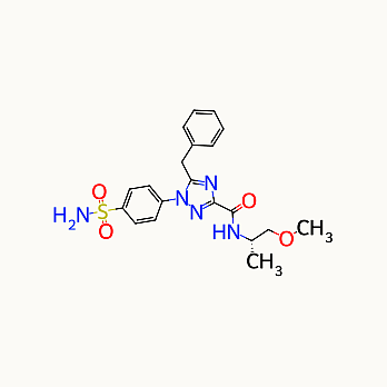 COC[C@H](C)NC(=O)c1nc(Cc2ccccc2)n(-c2ccc(S(N)(=O)=O)cc2)n1